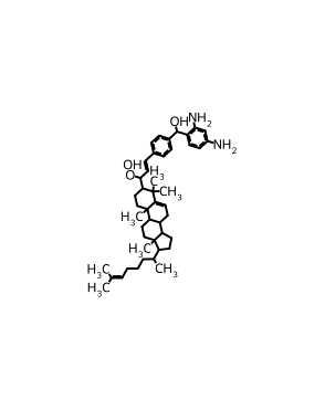 CC(C)=CCCCC(C)C1CCC2C3CC=C4C(C)(C)C(C(/C=C/c5ccc(C(O)c6ccc(N)cc6N)cc5)OO)CCC4(C)C3CCC12C